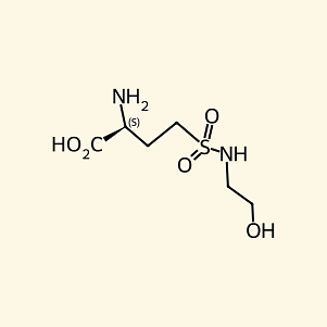 N[C@@H](CCS(=O)(=O)NCCO)C(=O)O